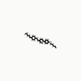 CCCCCOc1ccc(-c2ccc(CCC3CCC(CCCCC)CC3)cn2)cc1